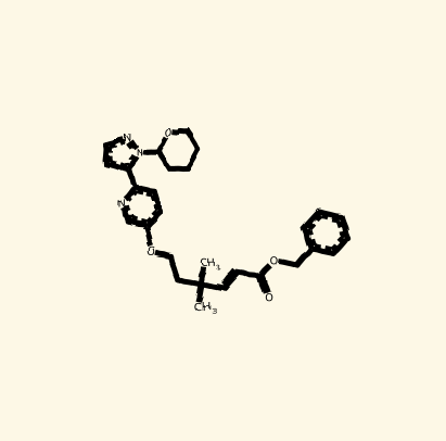 CC(C)(/C=C/C(=O)OCc1ccccc1)CCOc1ccc(-c2ccnn2C2CCCCO2)nc1